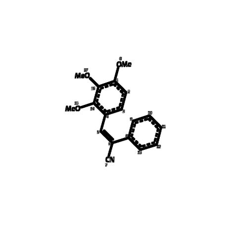 COc1ccc(C=C(C#N)c2ccccc2)c(OC)c1OC